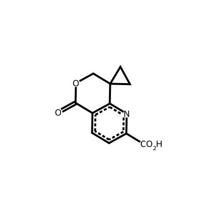 O=C(O)c1ccc2c(n1)C1(CC1)COC2=O